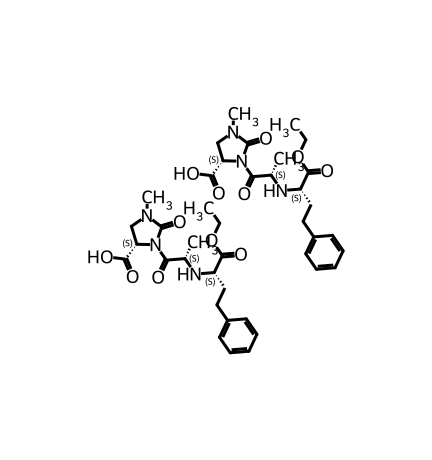 CCOC(=O)[C@H](CCc1ccccc1)N[C@@H](C)C(=O)N1C(=O)N(C)C[C@H]1C(=O)O.CCOC(=O)[C@H](CCc1ccccc1)N[C@@H](C)C(=O)N1C(=O)N(C)C[C@H]1C(=O)O